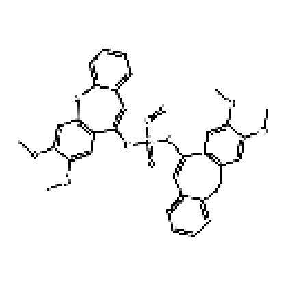 COc1cc2c(cc1OC)C(OP(=O)(N=O)OC1=Cc3ccccc3Sc3cc(OC)c(OC)cc31)=Cc1ccccc1S2